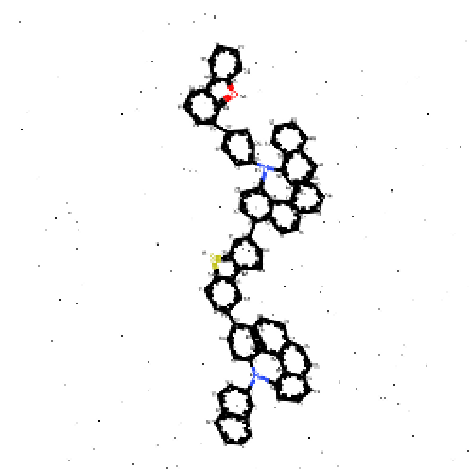 c1ccc2cc(N(c3ccc(-c4ccc5sc6cc(-c7ccc(N(c8ccc(-c9cccc%10c9oc9ccccc9%10)cc8)c8cccc9ccccc89)c8c7ccc7ccccc78)ccc6c5c4)cc3)c3cccc4ccc5ccccc5c34)ccc2c1